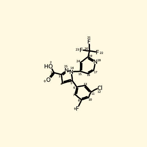 O=C(O)c1cc(-c2cc(F)cc(Cl)c2)n(-c2ccnc(C(F)(F)F)c2)n1